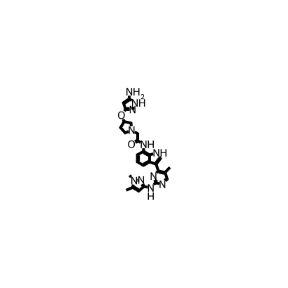 Cc1cnc(Nc2cc(C)n(C)n2)nc1-c1c[nH]c2c(NC(=O)CN3CCC(Oc4cc(N)[nH]n4)C3)cccc12